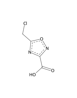 O=C(O)c1noc(CCl)n1